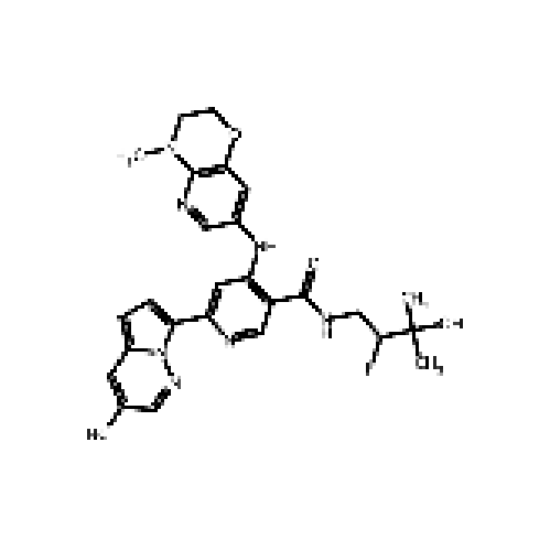 CN1CCOc2cc(Nc3cc(-c4ccc5cc(C#N)cnn45)ncc3C(=O)NCC(F)C(C)(C)O)cnc21